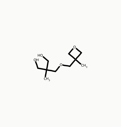 CC(CO)(CO)COCC1(C)COC1